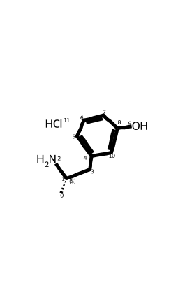 C[C@H](N)Cc1cccc(O)c1.Cl